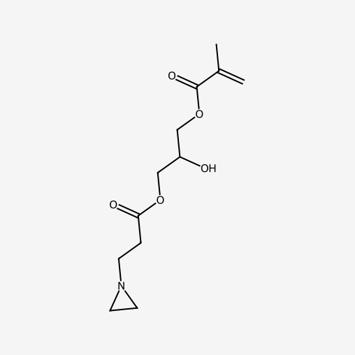 C=C(C)C(=O)OCC(O)COC(=O)CCN1CC1